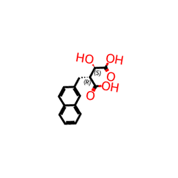 O=C(O)[C@@H](O)[C@@H](Cc1ccc2ccccc2c1)C(=O)O